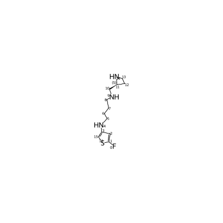 Fc1cc(NCCCCNC[C@@H]2CCN2)cs1